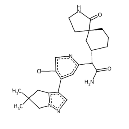 CC1(C)Cc2c(-c3cc(C(C(N)=O)[C@H]4CCC[C@]5(CCNC5=O)C4)ncc3Cl)cnn2C1